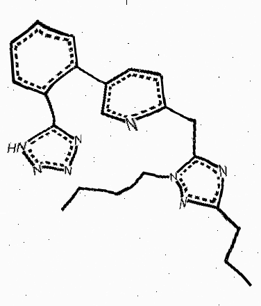 CCCCn1nc(CCC)nc1Cc1ccc(-c2ccccc2-c2nnn[nH]2)cn1